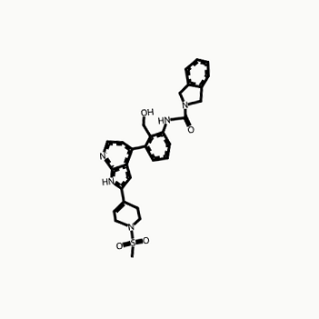 CS(=O)(=O)N1CC=C(c2cc3c(-c4cccc(NC(=O)N5Cc6ccccc6C5)c4CO)ccnc3[nH]2)CC1